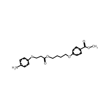 COC(=O)c1ccc(OCCCCOC(=O)CCSc2ccc(N)cc2)cc1